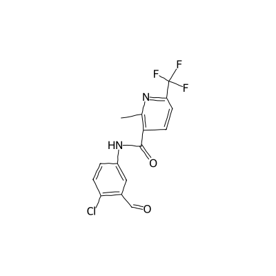 Cc1nc(C(F)(F)F)ccc1C(=O)Nc1ccc(Cl)c(C=O)c1